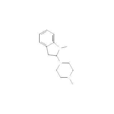 CCOC(=O)N1c2ccccc2CC1N1CCN(C)CC1